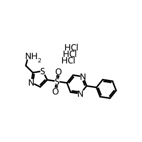 Cl.Cl.Cl.NCc1ncc(S(=O)(=O)c2cnc(-c3ccccc3)nc2)s1